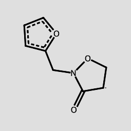 O=C1[CH]CON1Cc1ccco1